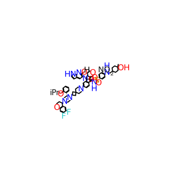 CC(C)Oc1ccccc1[C@H]1CN([C@@H]2CCOc3cc(F)c(F)cc32)CCN1C1CC2(CCN(c3ccc(C(=O)NS(=O)(=O)c4ccc(NCC5CCC(C)(O)CC5)c([N+](=O)[O-])c4)c(N4c5cc6cc[nH]c6nc5O[C@H]5COCC[C@@H]54)c3)CC2)C1